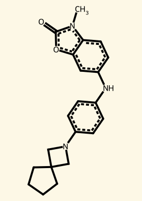 Cn1c(=O)oc2cc(Nc3ccc(N4CC5(CCCC5)C4)cc3)ccc21